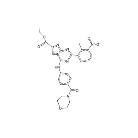 CCOC(=O)c1cn2c(Nc3ccc(C(=O)N4CCOCC4)cc3)nc(-c3cccc([N+](=O)[O-])c3C)nc2n1